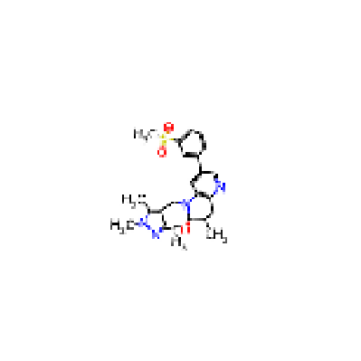 Cc1nn(C)c(C)c1CN1C(=O)C(C)Cc2ncc(-c3cccc(S(C)(=O)=O)c3)cc21